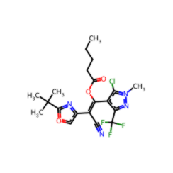 CCCCC(=O)O/C(=C(/C#N)c1coc(C(C)(C)C)n1)c1c(C(F)(F)F)nn(C)c1Cl